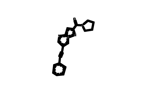 O=C(c1cc2ncc(C#Cc3ccccc3)cn2n1)N1CCCC1